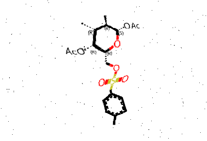 CC(=O)O[C@@H]1O[C@H](COS(=O)(=O)c2ccc(C)cc2)[C@H](OC(C)=O)[C@H](C)[C@H]1C